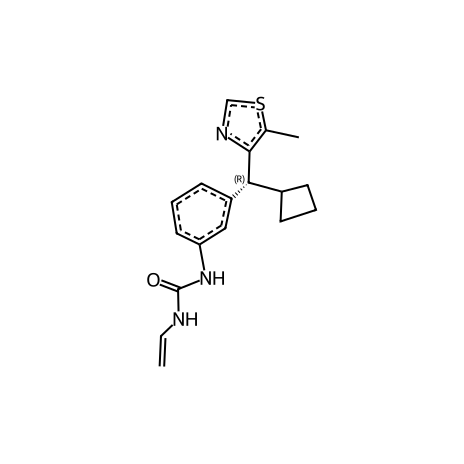 C=CNC(=O)Nc1cccc([C@H](c2ncsc2C)C2CCC2)c1